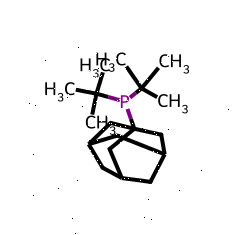 CC(C)(C)P(C(C)(C)C)C12CC3CC(CC(C3)C1)C2